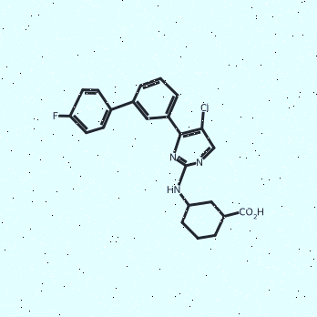 O=C(O)C1CCCC(Nc2ncc(Cl)c(-c3cccc(-c4ccc(F)cc4)c3)n2)C1